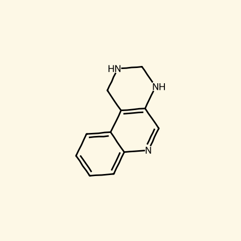 c1ccc2c3c(cnc2c1)NCNC3